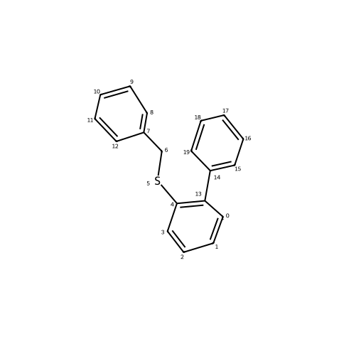 [c]1cccc(SCc2ccccc2)c1-c1ccccc1